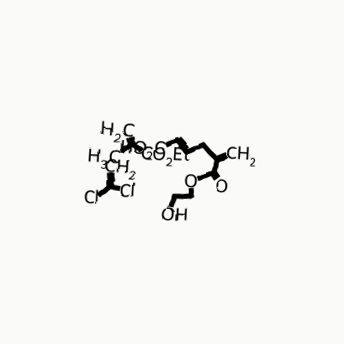 C=C(C)C(=O)OCC.C=C(CC=CC(=O)O)C(=O)OCCO.C=C(Cl)Cl